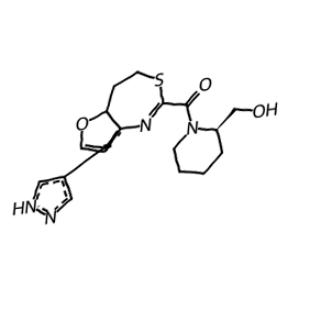 O=C(C1=NC23C=CC=C(c4cn[nH]c4)C2=COC3CCS1)N1CCCC[C@@H]1CO